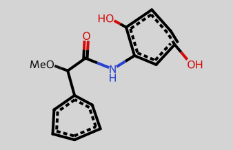 COC(C(=O)Nc1cc(O)ccc1O)c1ccccc1